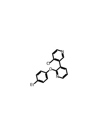 CCc1ccc(Oc2ncccc2-c2cnccc2Cl)cc1